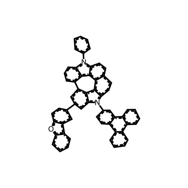 c1ccc(-n2c3cccc4c3c3c5c(ccc32)ccc2c5c3c-4cc(-c4ccc5oc6ccccc6c5c4)cc3n2-c2ccc3c4ccccc4c4ccccc4c3c2)cc1